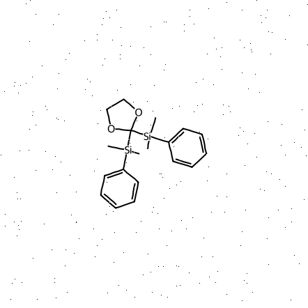 C[Si](C)(c1ccccc1)C1([Si](C)(C)c2ccccc2)OCCO1